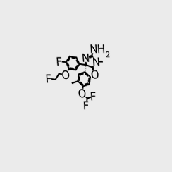 Cc1cc([C@]2(c3ccc(F)c(OCCF)c3)N=C(N)N(C)C2=O)ccc1OC(F)F